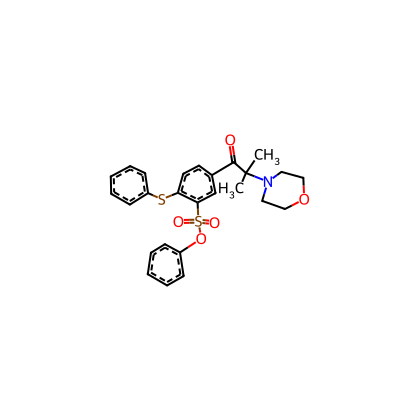 CC(C)(C(=O)c1ccc(Sc2ccccc2)c(S(=O)(=O)Oc2ccccc2)c1)N1CCOCC1